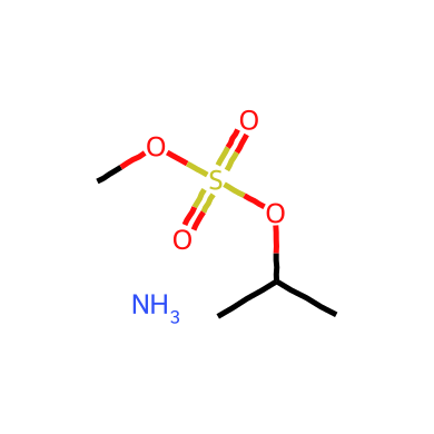 COS(=O)(=O)OC(C)C.N